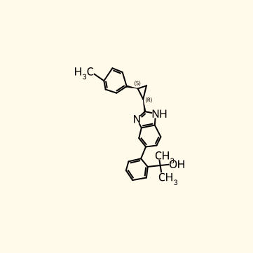 Cc1ccc([C@H]2C[C@H]2c2nc3cc(-c4ccccc4C(C)(C)O)ccc3[nH]2)cc1